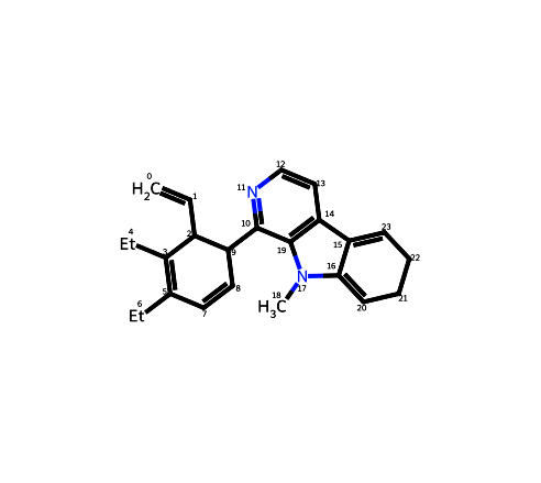 C=CC1C(CC)=C(CC)C=CC1c1nccc2c3c(n(C)c12)=CCCC=3